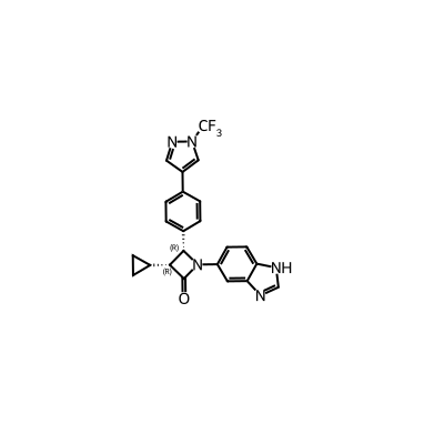 O=C1[C@H](C2CC2)[C@H](c2ccc(-c3cnn(C(F)(F)F)c3)cc2)N1c1ccc2[nH]cnc2c1